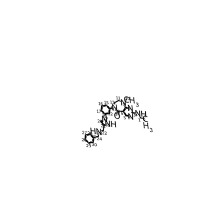 CCNc1ncc2c(n1)N(C)CCN(c1cccc(-n3cc(CNCc4ccccc4)[nH]3)c1)C2=O